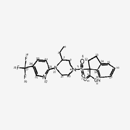 CCC1CN(S(=O)(=O)C2(C(=O)O)CCc3ccccc32)CCN1c1ccc(C(F)(F)F)cn1